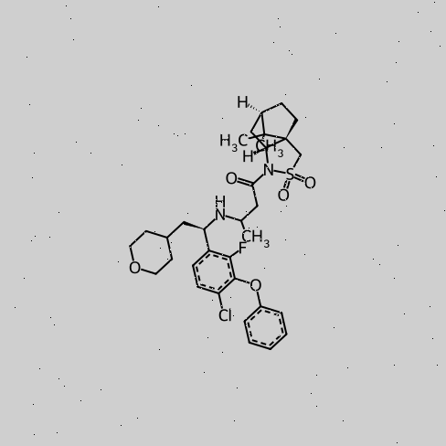 CC(CC(=O)N1[C@@H]2C[C@H]3CC[C@]2(CS1(=O)=O)C3(C)C)N[C@H](CC1CCOCC1)c1ccc(Cl)c(Oc2ccccc2)c1F